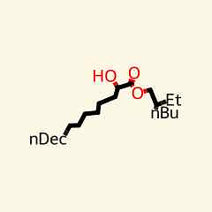 CCCCCCCCCCCCCCCCC(O)C(=O)OCC(CC)CCCC